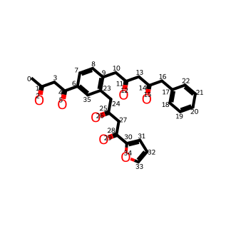 CC(=O)CC(=O)c1ccc(CC(=O)CC(=O)Cc2ccccc2)c(CC(=O)CC(=O)c2ccco2)c1